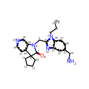 CC(C)CCn1c(CN2C(=O)C3(CCCC3)c3ccncc32)nc2cc(CN)ccc21